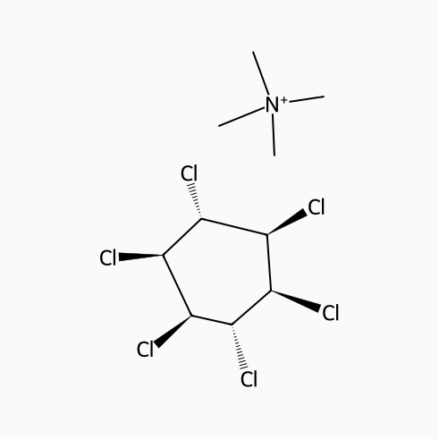 C[N+](C)(C)C.Cl[C@H]1[C@H](Cl)[C@@H](Cl)[C@@H](Cl)[C@H](Cl)[C@H]1Cl